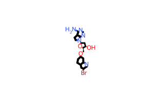 Nc1ncnc2c1ccn2[C@H]1C[C@H](O)[C@@H](COc2ccc3cc(Br)cnc3c2)O1